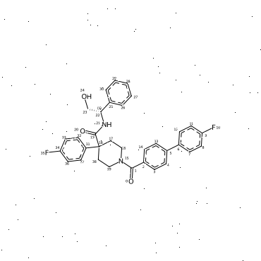 O=C(c1ccc(-c2ccc(F)cc2)cc1)N1CCC(C(=O)N[C@H](CO)c2ccccc2)(c2ccc(F)cc2)CC1